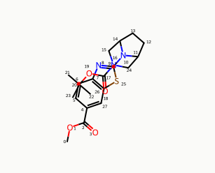 COC(=O)c1ccc2nc(N3C4CCC3CN(C(=O)OC(C)(C)C)C4)sc2c1